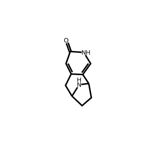 O=c1cc2c(c[nH]1)C1CCC(C2)N1